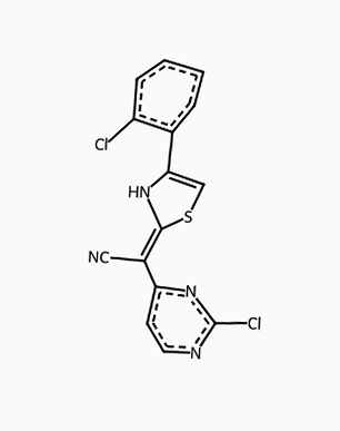 N#CC(=C1NC(c2ccccc2Cl)=CS1)c1ccnc(Cl)n1